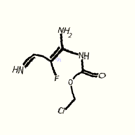 N=C/C(F)=C(\N)NC(=O)OCCl